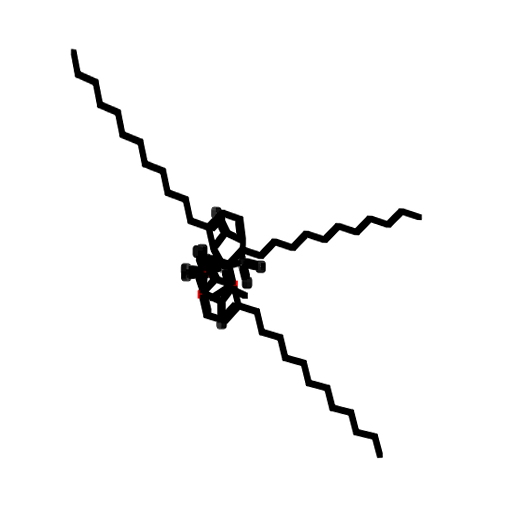 CCCCCCCCCCCCC1=CC=C2C(=O)[CH]1[Ti]13([CH](C)C)([CH]4C(=O)C(=CC=C4CCCCCCCCCCCC)[S]1(=O)=O)([CH]1C(=O)C(=CC=C1CCCCCCCCCCCC)[S]3(=O)=O)[S]2(=O)=O